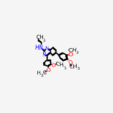 CCCNc1nc(-c2ccc(OC)c(OC)c2)c2cc(-c3ccc(OC)c(OC)c3)ccc2n1